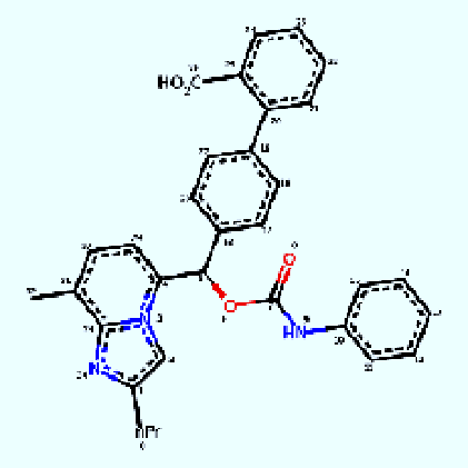 CCCc1cn2c([C@H](OC(=O)Nc3ccccc3)c3ccc(-c4ccccc4C(=O)O)cc3)ccc(C)c2n1